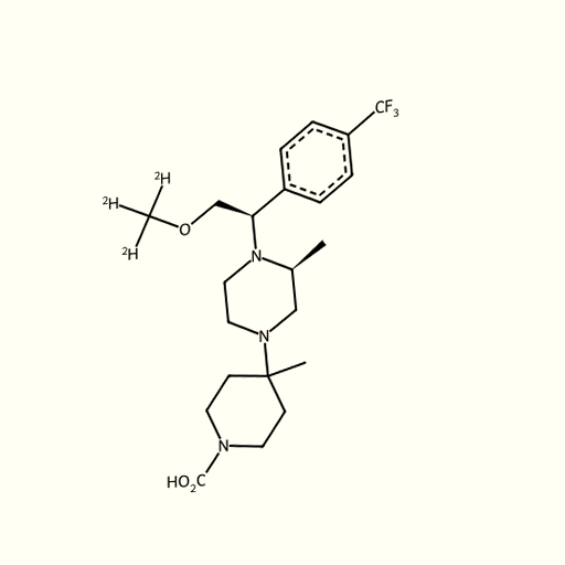 [2H]C([2H])([2H])OC[C@@H](c1ccc(C(F)(F)F)cc1)N1CCN(C2(C)CCN(C(=O)O)CC2)C[C@@H]1C